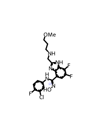 COCCCNCc1nc2c(/C(=N/O)Nc3ccc(F)c(Cl)c3)cc(F)c(F)c2[nH]1